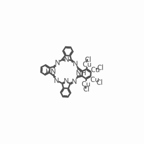 [Cl][Cu][c]1[c]([Cu][Cl])[c]([Cu][Cl])c2c3nc4nc(nc5[nH]c(nc6nc(nc([nH]3)c2[c]1[Cu][Cl])-c1ccccc1-6)c1ccccc51)-c1ccccc1-4